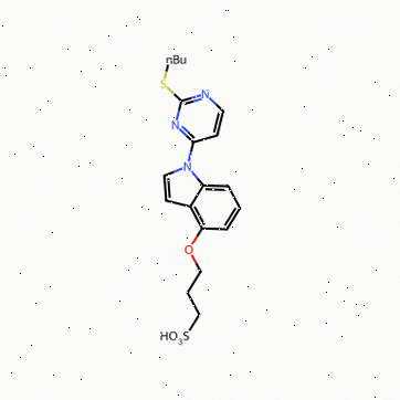 CCCCSc1nccc(-n2ccc3c(OCCCS(=O)(=O)O)cccc32)n1